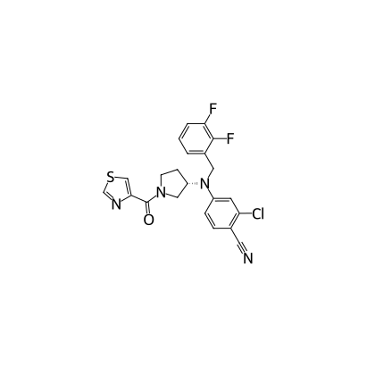 N#Cc1ccc(N(Cc2cccc(F)c2F)[C@H]2CCN(C(=O)c3cscn3)C2)cc1Cl